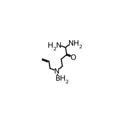 BN(CC=C)CCC(=O)C(N)N